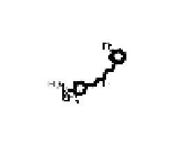 CCc1cccc(C=CC(=O)C=Cc2ccc(N(C)C)cc2)c1